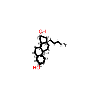 CC(C)CCC[C@@]12CC[C@]3(C)C(=C1C[C@H](O)C2)CCc1cc(O)ccc13